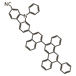 N#Cc1ccc2c3ccc(-c4ccc(-c5cc6c7ccccc7c(-c7ccccc7)cc6c6ccccc56)c5ccccc45)cc3n(-c3ccccc3)c2c1